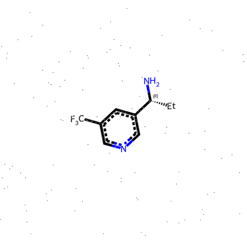 CC[C@@H](N)c1cncc(C(F)(F)F)c1